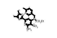 CCOC(=O)N(Cc1ccc(C)nc1)c1cc(-c2nc(C)c(C)o2)nc(N)c1[N+](=O)[O-]